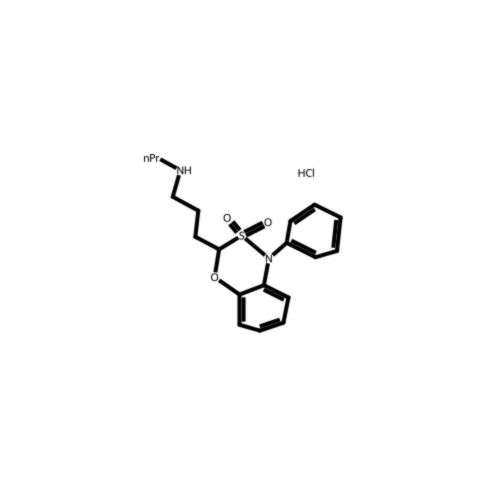 CCCNCCCC1Oc2ccccc2N(c2ccccc2)S1(=O)=O.Cl